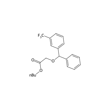 CCCCOC(=O)COC(c1ccccc1)c1cccc(C(F)(F)F)c1